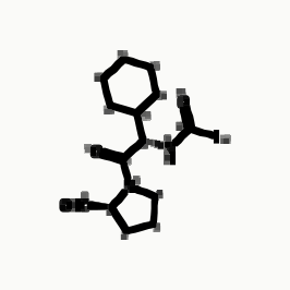 O=C[C@@H]1CCCN1C(=O)[C@@H](NC(=O)I)C1CCCCC1